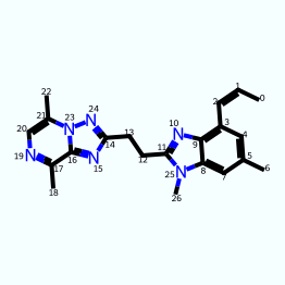 C/C=C\c1cc(C)cc2c1nc(CCc1nc3c(C)ncc(C)n3n1)n2C